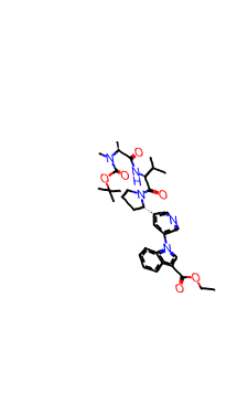 CCOC(=O)c1cn(-c2cncc([C@@H]3CCCN3C(=O)[C@@H](NC(=O)[C@H](C)N(C)C(=O)OC(C)(C)C)C(C)C)c2)c2ccccc12